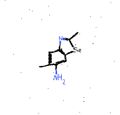 Cc1nc2cc(C)c(N)cc2[se]1